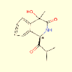 CC(C)C(=O)[C@@H]1NC(=O)C(C)(O)c2ccccc21